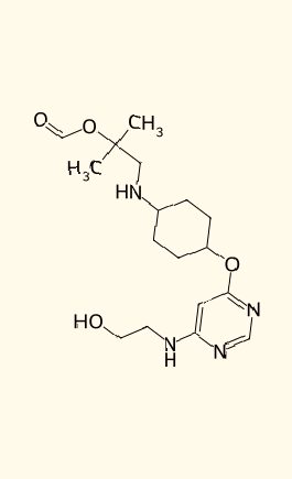 CC(C)(CNC1CCC(Oc2cc(NCCO)ncn2)CC1)OC=O